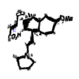 COc1ccc2c(CCN3CCCC3)cccc2c1.O=C(O)/C=C/C(=O)O